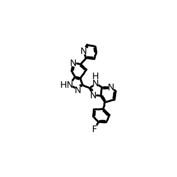 Fc1ccc(-c2ccnc3[nH]c(-c4n[nH]c5cnc(-c6ccccn6)cc45)nc23)cc1